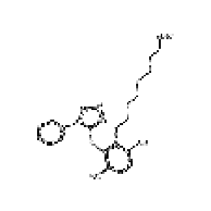 CCCCCCCCCCCCCCCCCCc1c(O)ccc(O)c1Sc1nnnn1-c1ccccc1